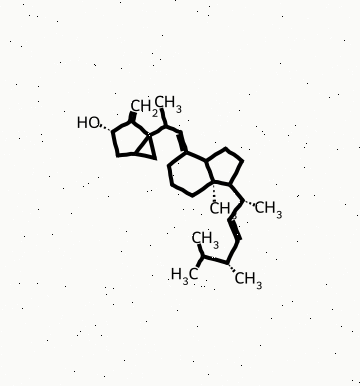 C=C1[C@@H](O)CC2CC12C(C)/C=C1\CCC[C@@]2(C)C1CCC2[C@H](C)/C=C/[C@H](C)C(C)C